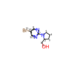 OCC1CCCN1c1ncc(Br)cn1